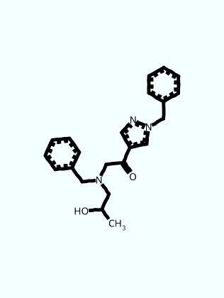 CC(O)CN(CC(=O)c1cnn(Cc2ccccc2)c1)Cc1ccccc1